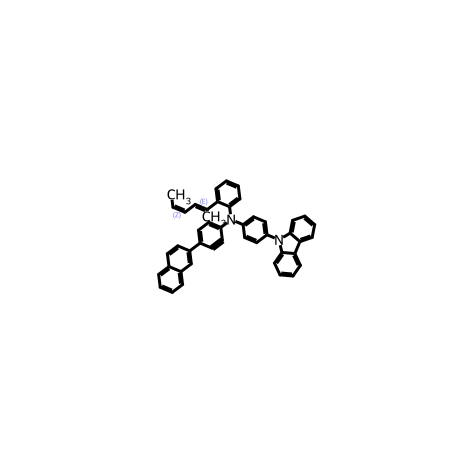 C/C=C\C=C(/C)c1ccccc1N(c1c#cc(-c2ccc3ccccc3c2)cc1)c1ccc(-n2c3ccccc3c3ccccc32)cc1